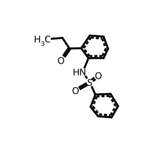 CCC(=O)c1ccccc1NS(=O)(=O)c1ccccc1